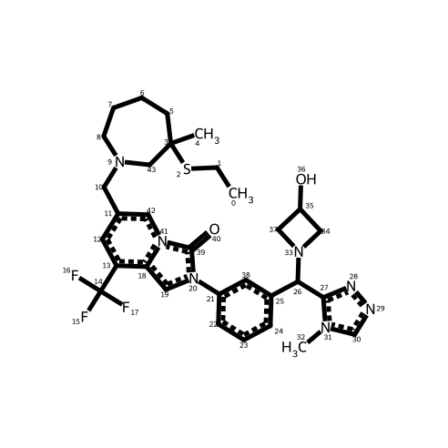 CCSC1(C)CCCCN(Cc2cc(C(F)(F)F)c3cn(-c4cccc(C(c5nncn5C)N5CC(O)C5)c4)c(=O)n3c2)C1